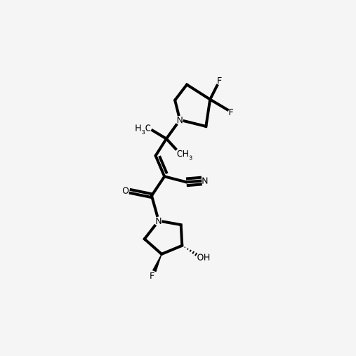 CC(C)(C=C(C#N)C(=O)N1C[C@H](O)[C@@H](F)C1)N1CCC(F)(F)C1